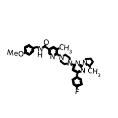 COc1ccc(CNC(=O)c2cnc(N3CCN(c4cc(-c5ccc(F)cc5)nc(N5CCCC5C)n4)CC3)c(C)c2)cc1